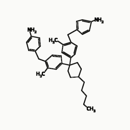 CCCCCC1CCC(c2ccc(Cc3ccc(N)cc3)c(C)c2)(c2ccc(Cc3ccc(N)cc3)c(C)c2)CC1